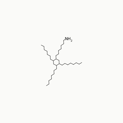 CCCCCCCCC1CC(CCCCCCC)C(CCCCCCCN)CC1CCCCCCCC